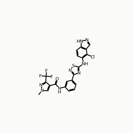 Cn1cc(C(=O)Nc2cccc(-c3nsc(Nc4ccc5[nH]ncc5c4Cl)n3)c2)c(C(F)(F)F)n1